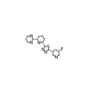 Fc1cncc(-c2nnc(-c3cccc(-c4ncccn4)n3)s2)c1